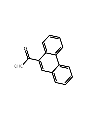 O=CC(=O)c1cc2ccccc2c2ccccc12